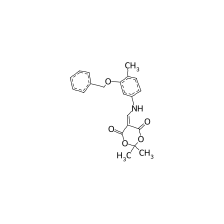 Cc1ccc(NC=C2C(=O)OC(C)(C)OC2=O)cc1OCc1ccccc1